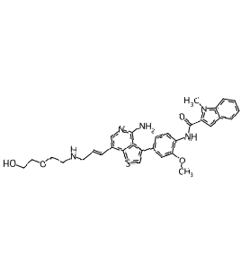 COc1cc(-c2csc3c(C=CCNCCOCCO)cnc(N)c23)ccc1NC(=O)c1cc2ccccc2n1C